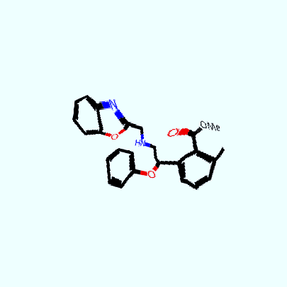 COC(=O)c1c(C)cccc1C(CNCc1nc2ccccc2o1)Oc1ccccc1